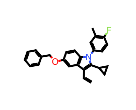 C=Cc1c(C2CC2)n(-c2ccc(F)c(C)c2)c2ccc(OCc3ccccc3)cc12